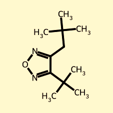 CC(C)(C)Cc1nonc1C(C)(C)C